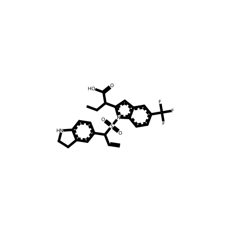 C=CC(c1ccc2c(c1)CCN2)S(=O)(=O)n1c(C(CC)C(=O)O)cc2cc(C(F)(F)F)ccc21